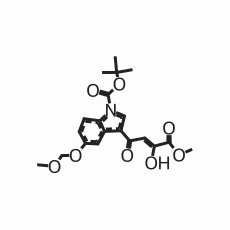 COCOc1ccc2c(c1)c(C(=O)C=C(O)C(=O)OC)cn2C(=O)OC(C)(C)C